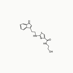 O=C(NCCO)c1csc(NCCc2c[nH]c3ccccc23)n1